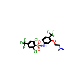 CN(C)CCOc1cc(NS(=O)(=O)c2c(Cl)cc(C(F)(F)F)cc2Cl)ccc1C(F)(F)F